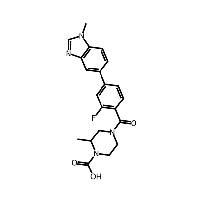 CC1CN(C(=O)c2ccc(-c3ccc4c(c3)ncn4C)cc2F)CCN1C(=O)O